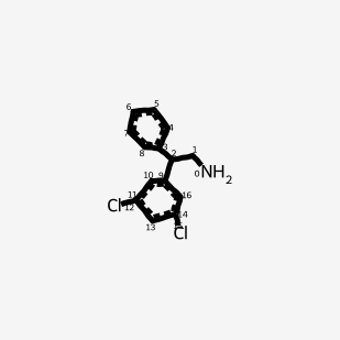 NCC(c1ccccc1)c1cc(Cl)cc(Cl)c1